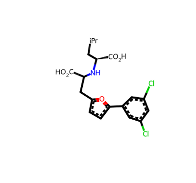 CC(C)C[C@H](NC(Cc1ccc(-c2cc(Cl)cc(Cl)c2)o1)C(=O)O)C(=O)O